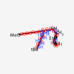 CCc1c2c(nc3ccc(OC(=O)N(C)CCOC(=O)C(C)NC(=O)CCNC(=O)OCC(NC(=O)CNC(=O)CNC(=O)CNC(=O)CNC(=O)CCNC(=O)CC(C)(C)C)C(=O)NCCOCCOCCOCCOCCOCCOCCOCCOC)cc13)-c1cc3c(c(=O)n1C2)COC(=O)[C@@]3(O)CC